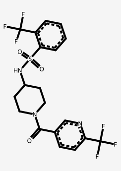 O=C(c1ccc(C(F)(F)F)nc1)N1CCC(NS(=O)(=O)c2ccccc2C(F)(F)F)CC1